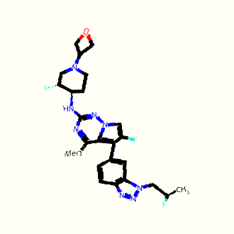 COc1nc(N[C@@H]2CCN(C3COC3)C[C@H]2F)nn2cc(F)c(-c3ccc4nnn(C[C@@H](C)F)c4c3)c12